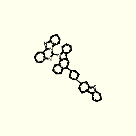 c1ccc2c(c1)nc(-n1c3ccccc3c3cc(-c4ccc(-c5ccc6c(c5)sc5ccccc56)cc4)c4ccccc4c31)n1c3ccccc3nc21